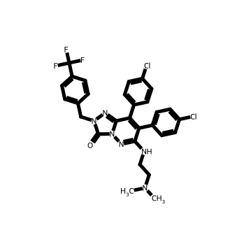 CN(C)CCNc1nn2c(=O)n(Cc3ccc(C(F)(F)F)cc3)nc2c(-c2ccc(Cl)cc2)c1-c1ccc(Cl)cc1